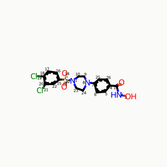 O=C(NO)c1ccc(N2CCN(S(=O)(=O)c3ccc(Cl)c(Cl)c3)CC2)cc1